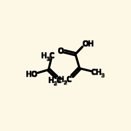 C=C(C)C(=O)O.C=C(C)O